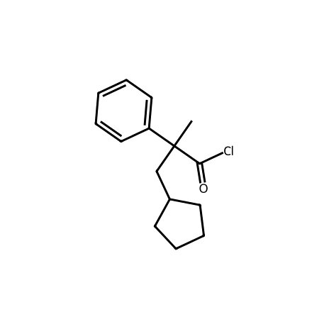 CC(CC1CCCC1)(C(=O)Cl)c1ccccc1